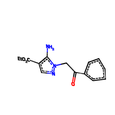 CCOC(=O)c1cnn(CC(=O)c2ccccc2)c1N